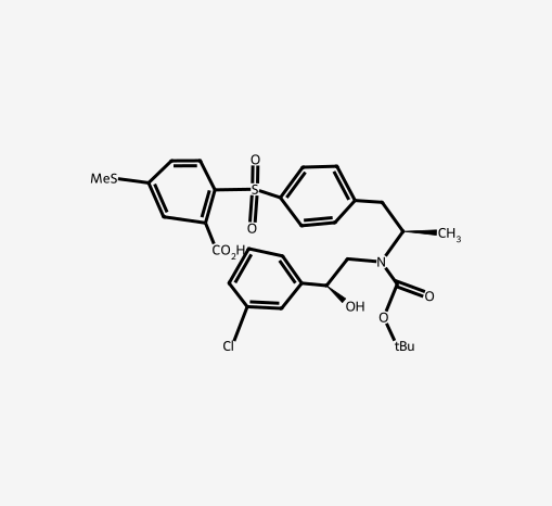 CSc1ccc(S(=O)(=O)c2ccc(C[C@@H](C)N(C[C@@H](O)c3cccc(Cl)c3)C(=O)OC(C)(C)C)cc2)c(C(=O)O)c1